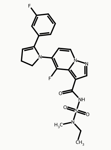 CCN(C)S(=O)(=O)NC(=O)c1cnn2ccc(N3CCC=C3c3cccc(F)c3)c(F)c12